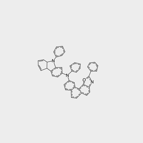 C1=CC2c3ccc(N(c4ccccc4)c4ccc5ccc6ccc7nc(-c8ccccc8)oc7c6c5c4)cc3N(c3ccccc3)C2C=C1